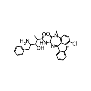 CC(C(=O)NC1N=C(c2ccccc2F)c2cc(Cl)ccc2N(C)C1=O)C(O)C(N)Cc1ccccc1